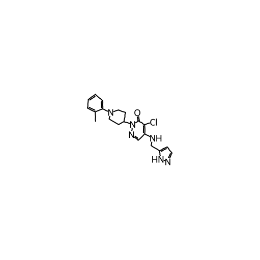 Cc1ccccc1N1CCC(n2ncc(NCc3ccn[nH]3)c(Cl)c2=O)CC1